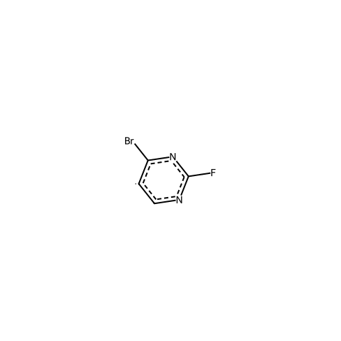 Fc1nc[c]c(Br)n1